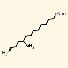 C=CCCC([SiH3])CCCCCCCCCCCCCCCCC